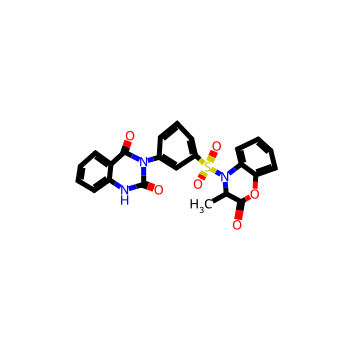 CC1C(=O)Oc2ccccc2N1S(=O)(=O)c1cccc(-n2c(=O)[nH]c3ccccc3c2=O)c1